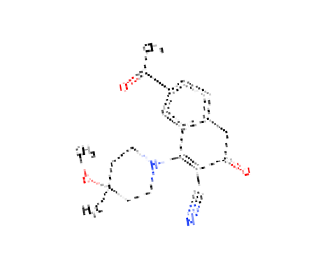 COC1(C)CCN(C2=C(C#N)C(=O)Cc3ccc(C(C)=O)cc32)CC1